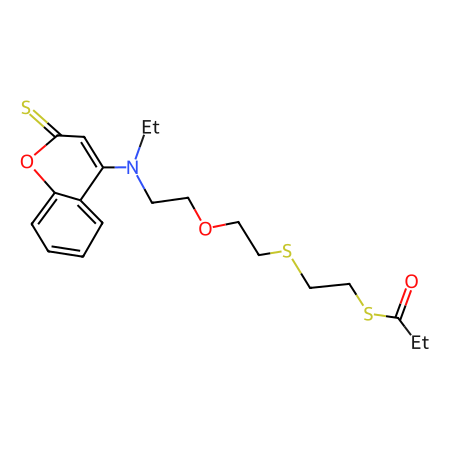 CCC(=O)SCCSCCOCCN(CC)c1cc(=S)oc2ccccc12